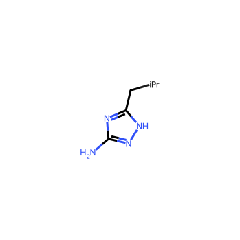 CC(C)Cc1nc(N)n[nH]1